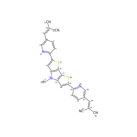 CCCn1c2cc(-c3ccc(C=C(C#N)C#N)cn3)sc2c2sc(-c3ccc(C=C(C#N)C#N)cn3)cc21